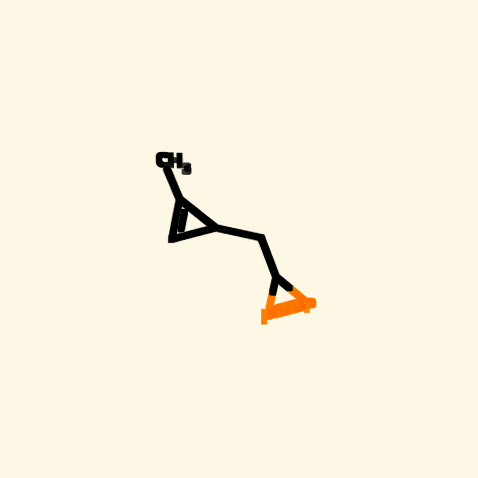 CC1=CC1CC1P=P1